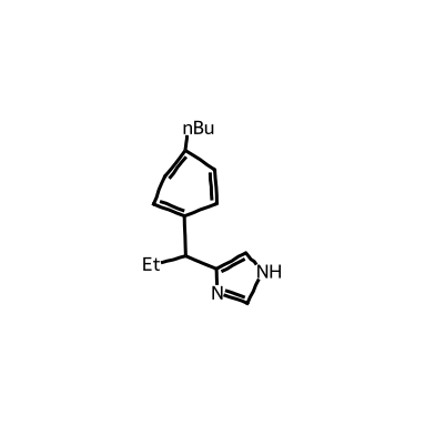 [CH2]CC(c1ccc(CCCC)cc1)c1c[nH]cn1